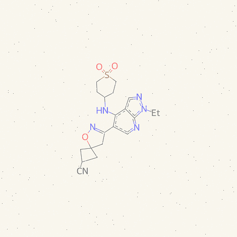 CCn1ncc2c(NC3CCS(=O)(=O)CC3)c(C3=NOC4(C3)CC(C#N)C4)cnc21